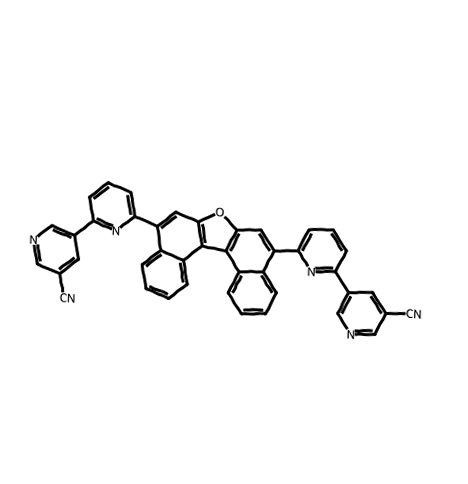 N#Cc1cncc(-c2cccc(-c3cc4oc5cc(-c6cccc(-c7cncc(C#N)c7)n6)c6ccccc6c5c4c4ccccc34)n2)c1